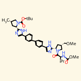 COC[C@H]1C[C@@H](c2ncc(-c3ccc(-c4ccc(-c5cnc([C@@H]6C[C@H](C)CN6C(=O)OC(C)(C)C)[nH]5)cc4)cc3)[nH]2)N(C(=O)C(NC(=O)OC)C(C)C)C1